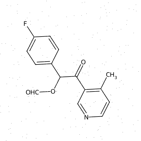 Cc1ccncc1C(=O)C(OC=O)c1ccc(F)cc1